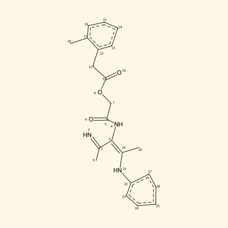 CC(=N)/C(NC(=O)COC(=O)Cc1ccccc1C)=C(/C)Nc1ccccc1